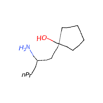 CCCC(N)CC1(O)CCCC1